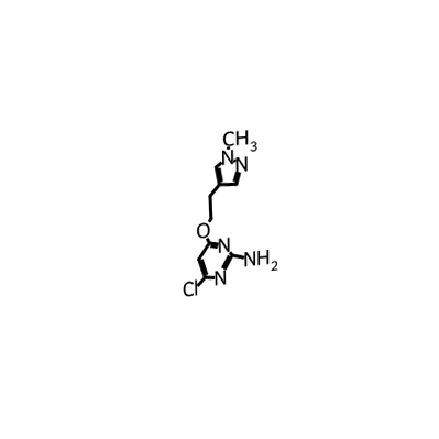 Cn1cc(CCOc2cc(Cl)nc(N)n2)cn1